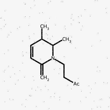 C=C1C=CC(C)C(C)N1CCC(C)=O